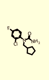 NC(=O)N(CC1CCCC1)c1ccc(F)cc1Cl